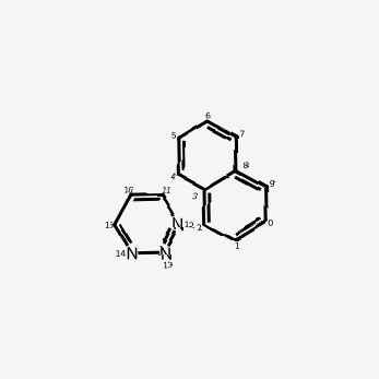 c1ccc2ccccc2c1.c1cnnnc1